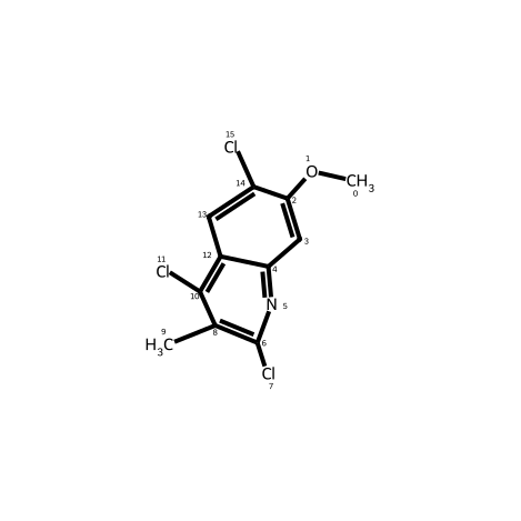 COc1cc2nc(Cl)c(C)c(Cl)c2cc1Cl